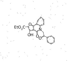 CCOC(=O)c1oc2c(c1O)c(=O)n(CC(=O)c1ccccc1)c1ccccc21